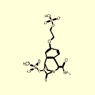 NC(=O)C1c2ccc(OCCOS(=O)(=O)O)cc2C2CN1C(=O)N2OS(=O)(=O)O